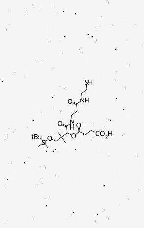 CC(C)(CO[Si](C)(C)C(C)(C)C)C(OC(=O)CCC(=O)O)C(=O)NCCC(=O)NCCS